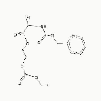 CC(C)C(NC(=O)OCc1ccccc1)C(=O)OCCOC(=O)OCI